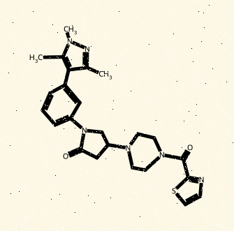 Cc1nn(C)c(C)c1-c1cccc(N2CC(N3CCN(C(=O)c4nccs4)CC3)CC2=O)c1